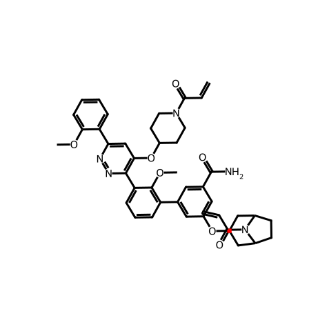 C=CC(=O)N1CCC(Oc2cc(-c3ccccc3OC)nnc2-c2cccc(-c3cc(OC4CC5CCC(C4)N5C(=O)C=C)cc(C(N)=O)c3)c2OC)CC1